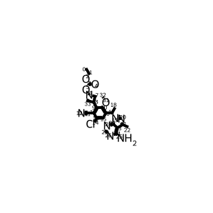 CCOC(=O)ON1CC(c2c(C#N)c(Cl)cc(C(C)n3nc(C)c4c(N)ncnc43)c2OC)C1